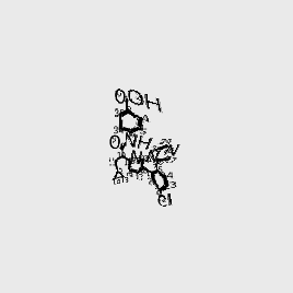 O=C(O)c1ccc(NC(=O)C(CC2CC2)c2ccc(-c3cc(Cl)ccc3-c3cnccn3)cn2)cc1